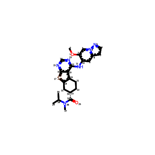 COc1cn2nccc2cc1Nc1ncnc2sc3c(c12)CC[C@H](C(=O)N(C)C(C)C)C3